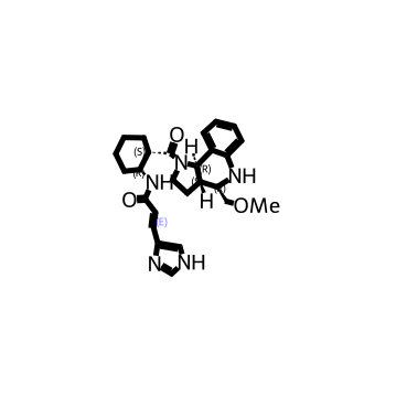 COC[C@@H]1Nc2ccccc2[C@H]2[C@H]1CCN2C(=O)[C@H]1CCCC[C@H]1NC(=O)/C=C/c1c[nH]cn1